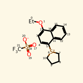 CCOc1ccc([S+]2CCCC2)c2ccccc12.O=S(=O)([O-])C(F)(F)F